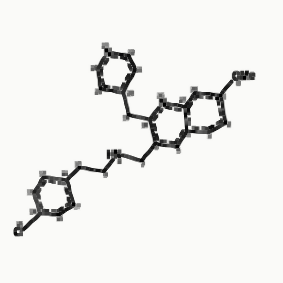 COc1ccc2cc(CNCCc3ccc(Cl)cc3)c(Cc3ccncc3)nc2c1